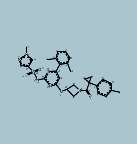 Cc1ccc(C2(C(=O)N3CC(Oc4cc(-c5c(C)cccc5C)nc(NS(=O)(=O)c5cnn(C)c5)n4)C3)CC2)cc1